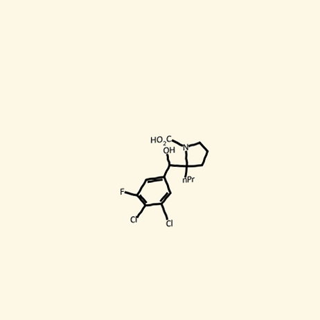 CCCC1(C(O)c2cc(F)c(Cl)c(Cl)c2)CCCN1C(=O)O